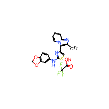 CCCc1nc2ccccn2c1-c1csc(Nc2ccc3c(c2)OCO3)n1.O=C(O)C(F)(F)F